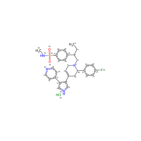 CCC(CN1CC=C(c2c[nH]cc2-c2ccncc2)CC1c1ccc(F)cc1)c1ccc(S(=O)(=O)NC)cc1.Cl